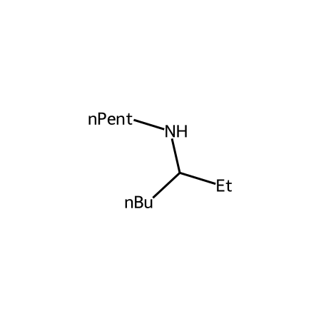 CCCCCNC(CC)CCCC